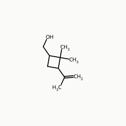 C=C(C)C1CC(CO)C1(C)C